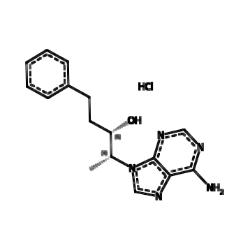 C[C@H]([C@@H](O)CCc1ccccc1)n1cnc2c(N)ncnc21.Cl